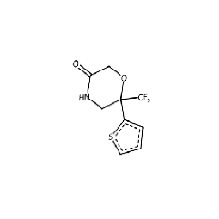 O=C1COC(c2cccs2)(C(F)(F)F)CN1